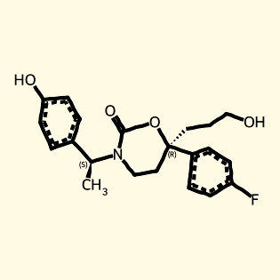 C[C@@H](c1ccc(O)cc1)N1CC[C@](CCCO)(c2ccc(F)cc2)OC1=O